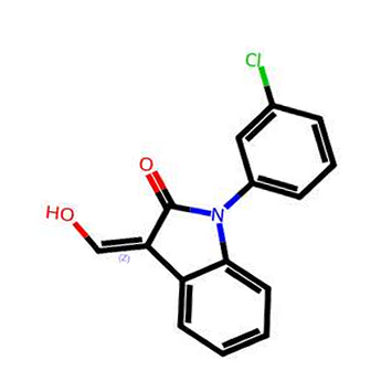 O=C1/C(=C\O)c2ccccc2N1c1cccc(Cl)c1